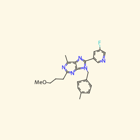 COCCCc1nc(C)c2nc(-c3cncc(F)c3)n(Cc3ccc(C)cc3)c2n1